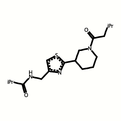 CC(C)CC(=O)N1CCCC(c2nc(CNC(=O)C(C)C)cs2)C1